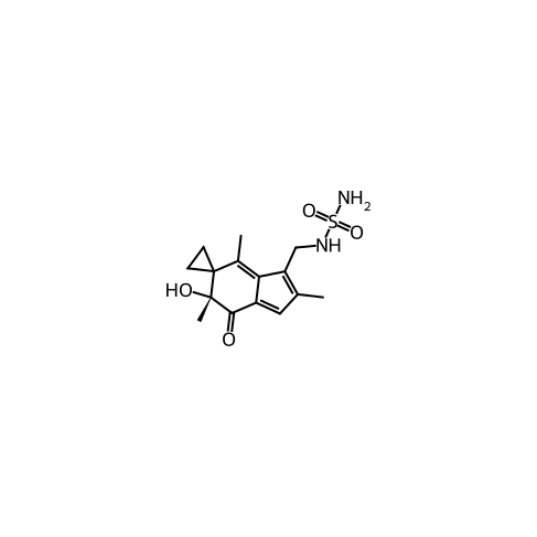 CC1=C(CNS(N)(=O)=O)C2=C(C)C3(CC3)[C@@](C)(O)C(=O)C2=C1